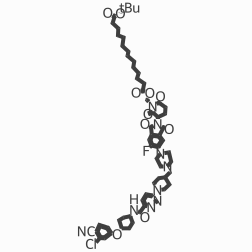 CC(C)(C)OC(=O)CCCCCCCCCCCCC(=O)OCN1C(=O)CCC(N2C(=O)c3cc(F)c(N4CCN(CC5CCN(c6ccc(C(=O)NC7CCC(Oc8ccc(C#N)c(Cl)c8)CC7)nn6)CC5)CC4)cc3C2=O)C1=O